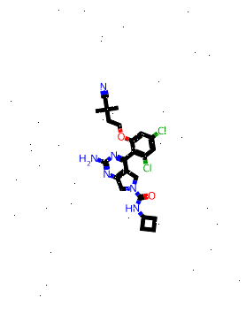 CC(C)(C#N)CCOc1cc(Cl)cc(Cl)c1-c1nc(N)nc2c1CN(C(=O)NC1CCC1)C2